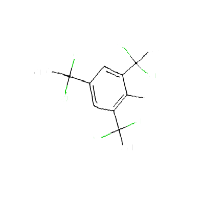 C[CH]c1c(C(Cl)(Cl)C(Cl)(Cl)Cl)cc(C(Cl)(Cl)C(Cl)(Cl)Cl)cc1C(Cl)(Cl)C(Cl)(Cl)Cl